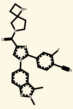 Cc1c2cc(-n3cc(C(=O)N4CCC5(CCN5)C4)nc3-c3ccc(C#N)c(F)c3)ccc2nn1C